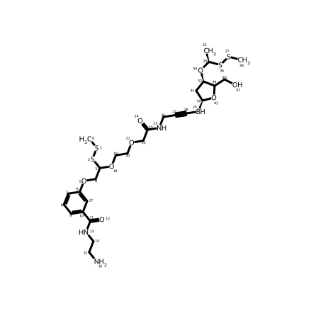 CSSC(COc1cccc(C(=O)NCCN)c1)OCCOCC(=O)NCC#CB[C@H]1C[C@@H](O[C@@H](C)SSC)C(CO)O1